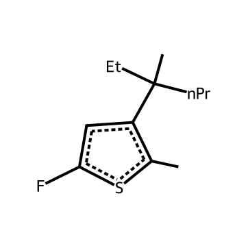 CCCC(C)(CC)c1cc(F)sc1C